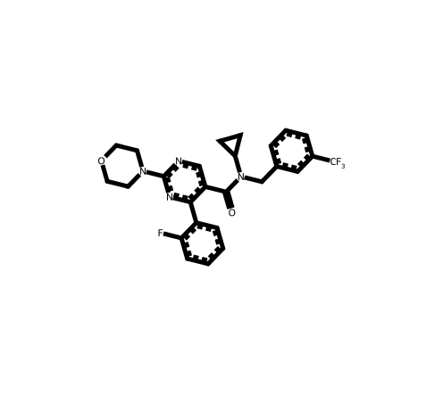 O=C(c1cnc(N2CCOCC2)nc1-c1ccccc1F)N(Cc1cccc(C(F)(F)F)c1)C1CC1